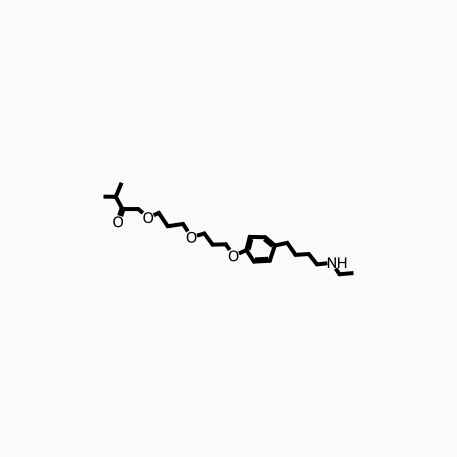 CCNCCCCc1ccc(OCCCOCCCOCC(=O)C(C)C)cc1